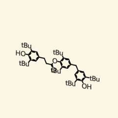 CC(C)(C)c1cc(CCC(=O)Oc2c(C(C)(C)C)cc(Cc3cc(C(C)(C)C)c(O)c(C(C)(C)C)c3)cc2C(C)(C)C)cc(C(C)(C)C)c1O